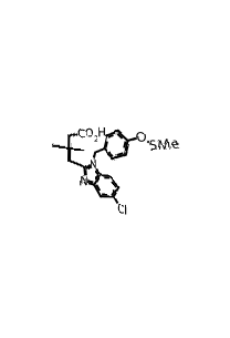 CSOc1ccc(Cn2c(CC(C)(C)CC(=O)O)nc3cc(Cl)ccc32)cc1